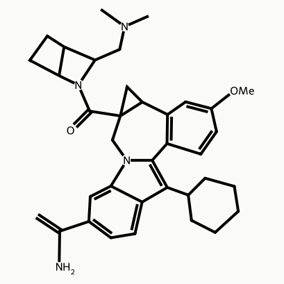 C=C(N)c1ccc2c(C3CCCCC3)c3n(c2c1)CC1(C(=O)N2C4CCC4C2CN(C)C)CC1c1cc(OC)ccc1-3